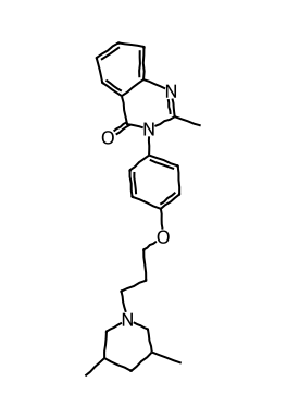 Cc1nc2ccccc2c(=O)n1-c1ccc(OCCCN2CC(C)CC(C)C2)cc1